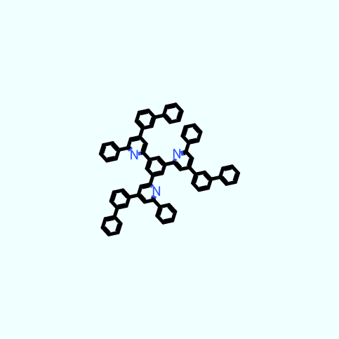 c1ccc(-c2cccc(-c3cc(-c4ccccc4)nc(-c4cc(-c5cc(-c6cccc(-c7ccccc7)c6)cc(-c6ccccc6)n5)cc(-c5cc(-c6cccc(-c7ccccc7)c6)cc(-c6ccccc6)n5)c4)c3)c2)cc1